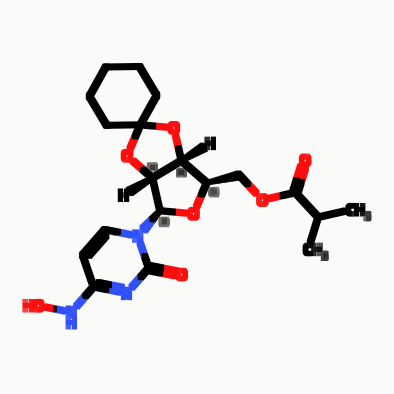 CC(C)C(=O)OC[C@H]1O[C@@H](n2ccc(NO)nc2=O)[C@@H]2OC3(CCCCC3)O[C@@H]21